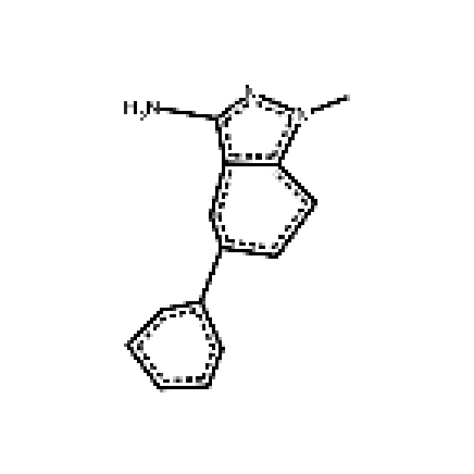 Cn1nc(N)c2cc(-c3ccccc3)ccc21